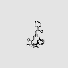 NC(=O)CCN(CC(=O)N1CCCCC1)Cc1cc(C(=O)O)ccn1